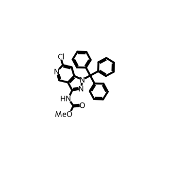 COC(=O)Nc1nn(C(c2ccccc2)(c2ccccc2)c2ccccc2)c2cc(Cl)ncc12